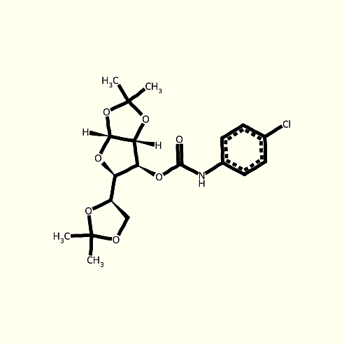 CC1(C)O[C@H]2O[C@H]([C@H]3COC(C)(C)O3)[C@H](OC(=O)Nc3ccc(Cl)cc3)[C@H]2O1